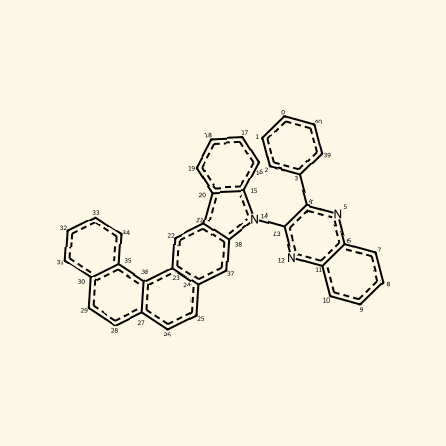 c1ccc(-c2nc3ccccc3nc2-n2c3ccccc3c3cc4c(ccc5ccc6ccccc6c54)cc32)cc1